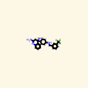 NC1=Nc2ccccc2C(N)(C2CCC(NCc3cccc(C(F)(F)F)c3)CC2)C1